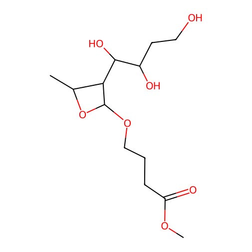 COC(=O)CCCOC1OC(C)C1C(O)C(O)CCO